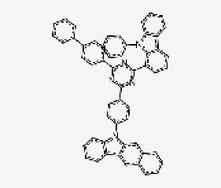 c1ccc(-c2ccc(-c3nc(-c4ccc(-n5c6ccccc6c6cc7ccccc7cc65)cc4)nc(-c4cccc5c6ccccc6n(-c6ccccc6)c45)n3)cc2)cc1